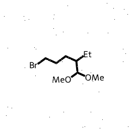 CCC(CCCBr)C(OC)OC